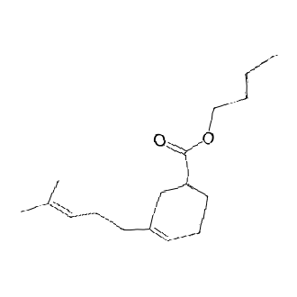 CCCCOC(=O)C1CCC=C(CCC=C(C)C)C1